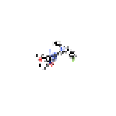 C#CCN1CC[C@@H](Cc2ccc(F)cc2)C[C@@H]1CCCNC(=NC#N)Nc1cc(C(C)=O)cc(C(C)=O)c1